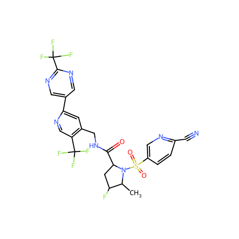 CC1C(F)CC(C(=O)NCc2cc(-c3cnc(C(F)(F)F)nc3)ncc2C(F)(F)F)N1S(=O)(=O)c1ccc(C#N)nc1